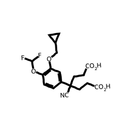 N#CC(CCC(=O)O)(CCC(=O)O)c1ccc(OC(F)F)c(OCC2CC2)c1